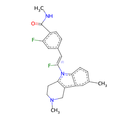 CNC(=O)c1ccc(/C=C(\F)n2c3c(c4cc(C)ccc42)CN(C)CC3)cc1F